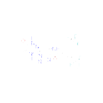 CC(NC(=O)c1cc(C(F)(F)F)cc(C(F)(F)F)c1)c1ncnn1C1=NNC(=O)CN1